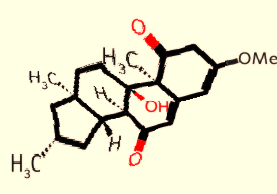 COC1=CC2=CC(=O)[C@H]3[C@@H]4C[C@H](C)C[C@@]4(C)CC[C@]3(O)[C@@]2(C)C(=O)C1